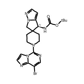 CC(C)(C)OC(=O)N[C@@H]1c2ccnn2CC12CCN(c1ncc(Br)c3nccn13)CC2